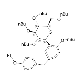 CCCCOC[C@H]1S[C@@H](c2cc(Cc3ccc(OCC)cc3)ccc2OCCCC)[C@H](OCCCC)[C@@H](OCCCC)[C@@H]1OCCCC